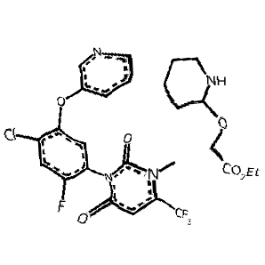 CCOC(=O)COC1CCCCN1.Cn1c(C(F)(F)F)cc(=O)n(-c2cc(Oc3cccnc3)c(Cl)cc2F)c1=O